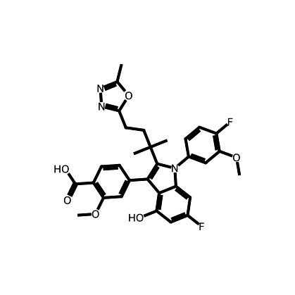 COc1cc(-n2c(C(C)(C)CCc3nnc(C)o3)c(-c3ccc(C(=O)O)c(OC)c3)c3c(O)cc(F)cc32)ccc1F